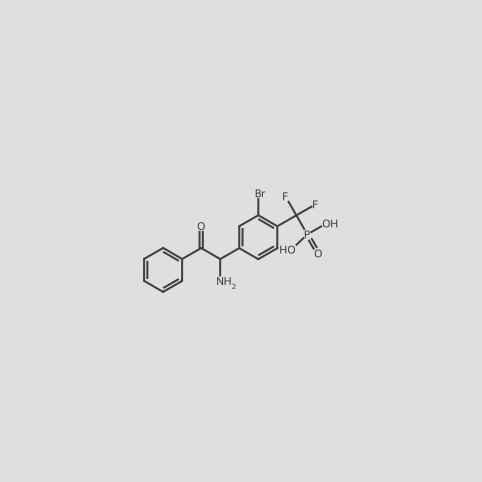 NC(C(=O)c1ccccc1)c1ccc(C(F)(F)P(=O)(O)O)c(Br)c1